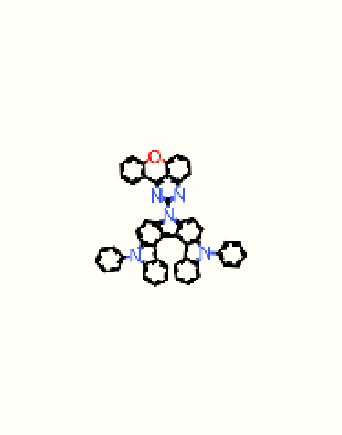 c1ccc(-n2c3ccccc3c3c4c5c6c7ccccc7n(-c7ccccc7)c6ccc5n(-c5nc6c7c(cccc7n5)Oc5ccccc5-6)c4ccc32)cc1